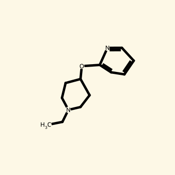 CCN1CCC(Oc2ccccn2)CC1